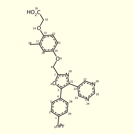 CCCc1ccc(-c2oc(COc3ccc(OCC(=O)O)c(C)c3)nc2-c2cncnc2)cc1